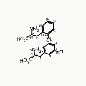 N[C@@H](Cc1cccc(Cl)c1)C(=O)O.N[C@@H](Cc1ccccc1Cl)C(=O)O